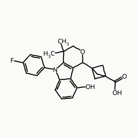 CC1(C)COC(C23CC(C(=O)O)(C2)C3)c2c1n(-c1ccc(F)cc1)c1cccc(O)c21